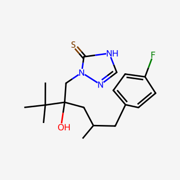 CC(Cc1ccc(F)cc1)CC(O)(Cn1nc[nH]c1=S)C(C)(C)C